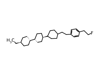 CC[C@H]1CC[C@H]([C@H]2CC[C@H](C3CCC(CCc4ccc(CCF)cc4)CC3)CC2)CC1